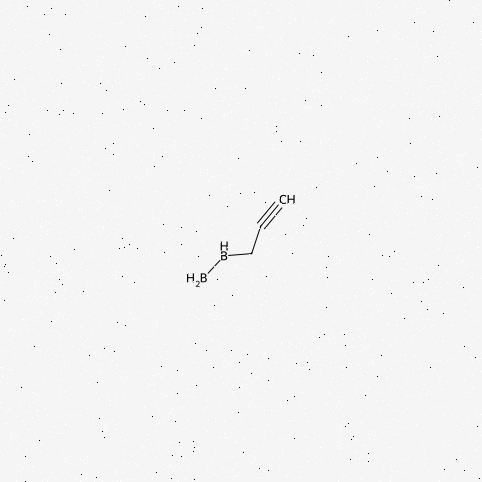 BBCC#C